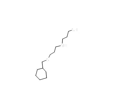 NCCCNCCCNCC1CCCCC1